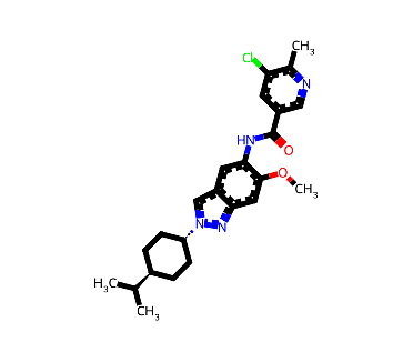 COc1cc2nn([C@H]3CC[C@H](C(C)C)CC3)cc2cc1NC(=O)c1cnc(C)c(Cl)c1